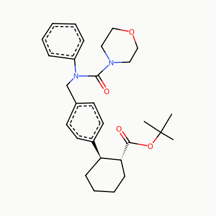 CC(C)(C)OC(=O)[C@@H]1CCCC[C@H]1c1ccc(CN(C(=O)N2CCOCC2)c2ccccc2)cc1